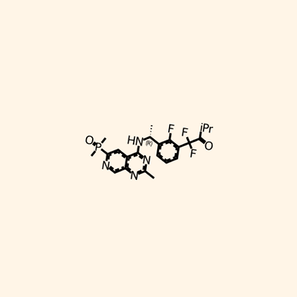 Cc1nc(N[C@H](C)c2cccc(C(F)(F)C(=O)C(C)C)c2F)c2cc(P(C)(C)=O)ncc2n1